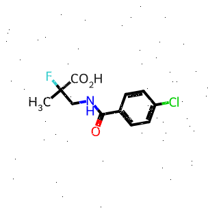 CC(F)(CNC(=O)c1ccc(Cl)cc1)C(=O)O